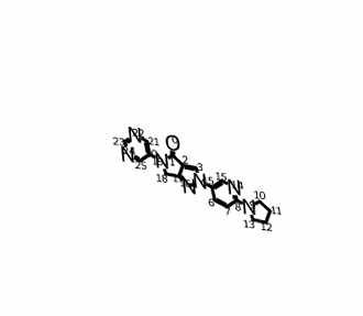 O=C1c2cn(-c3ccc(N4CCCC4)nc3)nc2CN1c1cncnc1